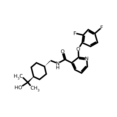 CC(C)(O)[C@H]1CC[C@H](CNC(=O)c2cccnc2Oc2ccc(F)cc2F)CC1